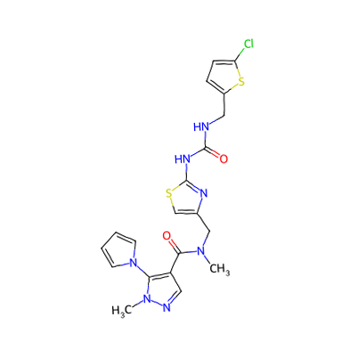 CN(Cc1csc(NC(=O)NCc2ccc(Cl)s2)n1)C(=O)c1cnn(C)c1-n1cccc1